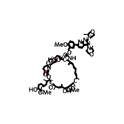 COc1ccc(-c2ccc3c(N4CCOC[C@@H]4C)nc(N4CCOC[C@@H]4C)nc3n2)cc1COC(=O)NC1C[C@@H]2CC[C@@H](C)[C@@](O)(O2)C(=O)C(=O)N2CCCC[C@H]2C(=O)O[C@H]([C@H](C)CC2CC[C@@H](O)[C@H](OC)C2)CC(=O)[C@H](C)/C=C(\C)[C@@H](O)[C@@H](OC)C(=O)[C@H](C)C[C@H](C)/C=C/C=C/C=C/1C